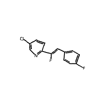 F/C(=C\c1ccc(F)cc1)c1ccc(Cl)cn1